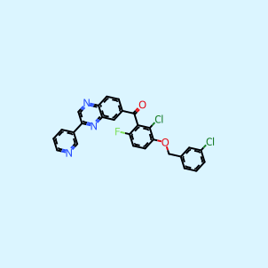 O=C(c1ccc2ncc(-c3cccnc3)nc2c1)c1c(F)ccc(OCc2cccc(Cl)c2)c1Cl